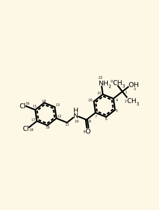 CC(C)(O)c1ccc(C(=O)NCc2ccc(Cl)c(Cl)c2)cc1N